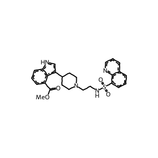 COC(=O)c1cccc2[nH]cc(C3CCN(CCNS(=O)(=O)c4cccc5cccnc45)CC3)c12